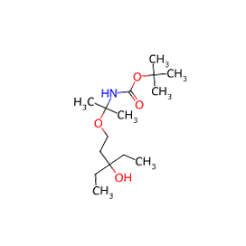 CCC(O)(CC)CCOC(C)(C)NC(=O)OC(C)(C)C